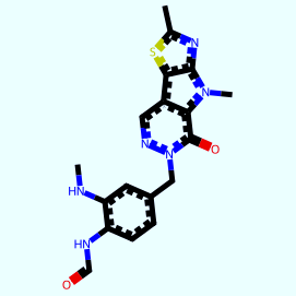 CNc1cc(Cn2ncc3c4sc(C)nc4n(C)c3c2=O)ccc1NC=O